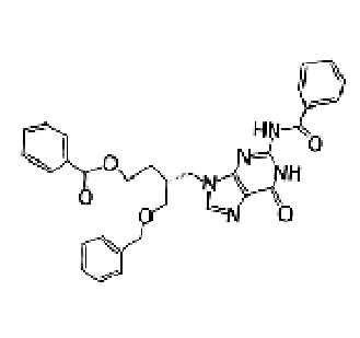 O=C(Nc1nc2c(ncn2C[C@@H](CCOC(=O)c2ccccc2)COCc2ccccc2)c(=O)[nH]1)c1ccccc1